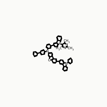 Cc1nc(C)c(-n2c3ccccc3c3cc(-c4cccc(N(c5ccc(-c6ccccc6)cc5)c5ccc6c(c5)oc5ccc(-c7ccc8c(c7)c7ccccc7n8-c7ccccc7)cc56)c4)ccc32)c(C)n1